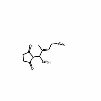 CCCCCCCCCCC/C=C(\C)C(CCCCCCCCC)N1C(=O)CCC1=O